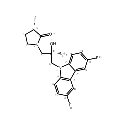 C[C@@](O)(CN1CC[C@H](F)C1=O)Cn1c2ccc(F)cc2c2cc(F)ccc21